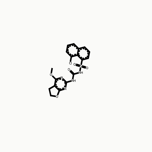 COc1nc(NC(=O)NS(=O)(=O)c2cccc3cccc(Cl)c23)nc2c1CCO2